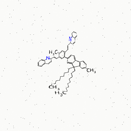 CCCCCCCCCCC1(CCCCCCCCCC)c2cc(C)ccc2-c2ccc(-c3cc(/C=C/c4ccc5ccccc5n4)c(C)cc3/C=C/c3ccc4ccccc4n3)cc21